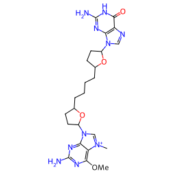 COc1nc(N)nc2c1[n+](C)cn2C1CCC(CCCCC2CCC(n3cnc4c(=O)[nH]c(N)nc43)O2)O1